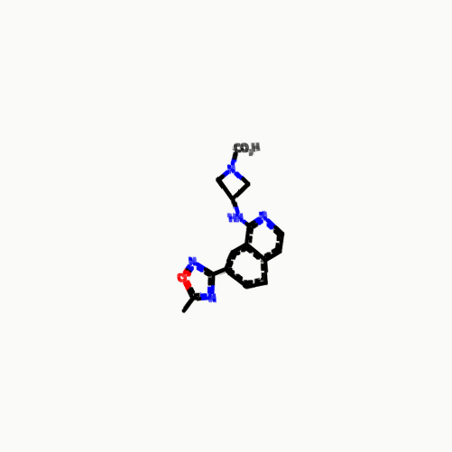 Cc1nc(-c2ccc3ccnc(NC4CN(C(=O)O)C4)c3c2)no1